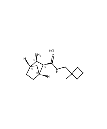 CC1(CNC(=O)[C@H]2[C@@H]3CC[C@@H](C3)[C@H]2N)CCC1.Cl